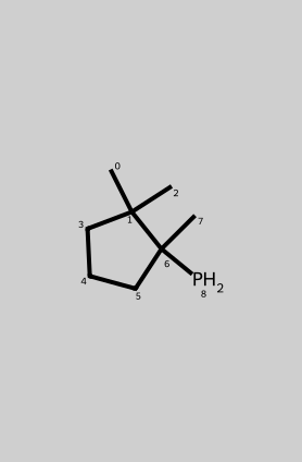 CC1(C)CCCC1(C)P